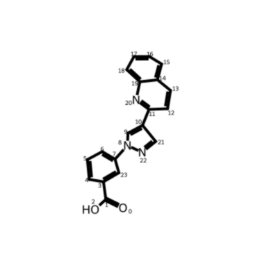 O=C(O)c1cccc(-n2cc(-c3ccc4ccccc4n3)cn2)c1